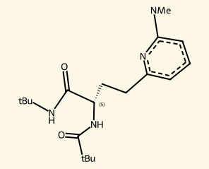 CNc1cccc(CC[C@H](NC(=O)C(C)(C)C)C(=O)NC(C)(C)C)n1